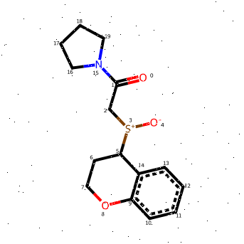 O=C(C[S+]([O-])C1CCOc2ccccc21)N1CCCC1